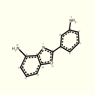 Nc1cccc(-c2nc3c(N)cccc3o2)c1